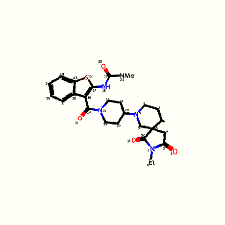 CCN1C(=O)CC2(CCCN(C3CCN(C(=O)c4c(NC(=O)NC)sc5ccccc45)CC3)C2)C1=O